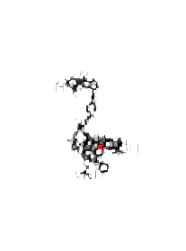 NC(=O)CC[C@H](NC(=O)[C@@H]1CC[C@@H]2CCN(C(=O)CCCN3CCC(C#Cc4cccc5c4CN(C4CCC(=O)NC4=O)C5=O)CC3)C[C@H](NC(=O)c3cc4cc(C(F)(F)P(=O)(O)O)ccc4[nH]3)C(=O)N21)C(=O)NC(c1ccccc1)c1ccccc1